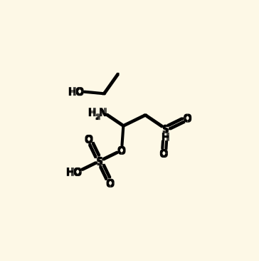 CCO.NC(C[SH](=O)=O)OS(=O)(=O)O